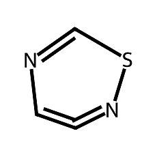 C1=CN=CSN=1